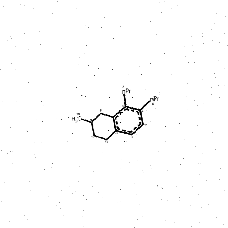 CCCc1ccc2c(c1CCC)CC(C)CC2